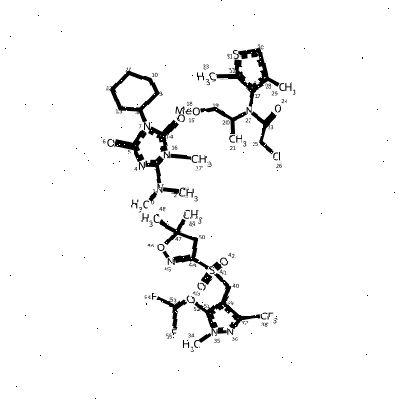 CN(C)c1nc(=O)n(C2CCCCC2)c(=O)n1C.COCC(C)N(C(=O)CCl)c1c(C)csc1C.Cn1nc(C(F)(F)F)c(CS(=O)(=O)C2=NOC(C)(C)C2)c1OC(F)F